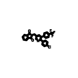 O=C1c2ccccc2C(=O)N1Cc1cnc(-c2ccc(Cl)cc2)c(-c2ccc(C(F)(F)F)cc2)c1